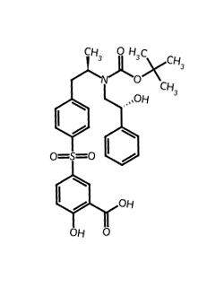 C[C@H](Cc1ccc(S(=O)(=O)c2ccc(O)c(C(=O)O)c2)cc1)N(C[C@H](O)c1ccccc1)C(=O)OC(C)(C)C